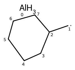 [AlH3].[CH2]C1CCCCC1